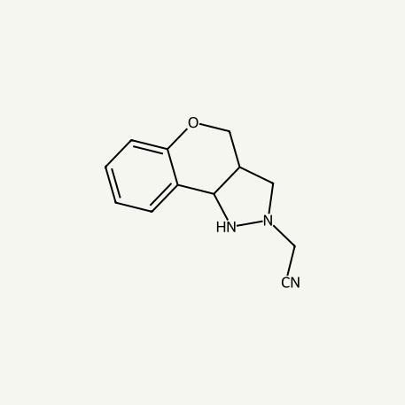 N#CCN1CC2COc3ccccc3C2N1